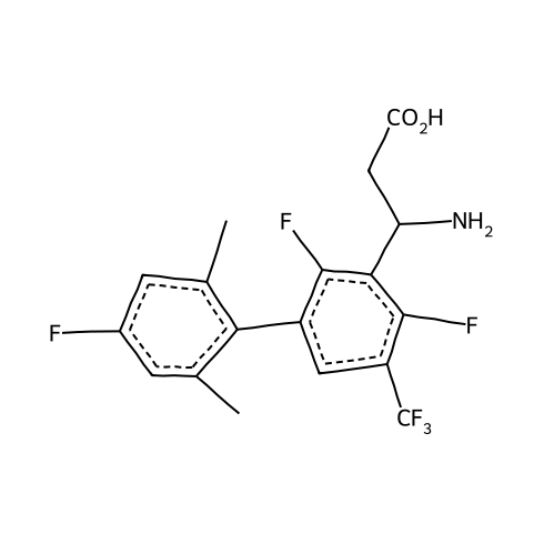 Cc1cc(F)cc(C)c1-c1cc(C(F)(F)F)c(F)c(C(N)CC(=O)O)c1F